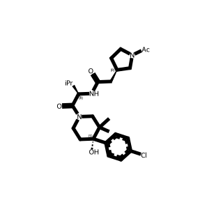 CC(=O)N1CC[C@H](CC(=O)N[C@@H](C(=O)N2CC[C@](O)(c3ccc(Cl)cc3)C(C)(C)C2)C(C)C)C1